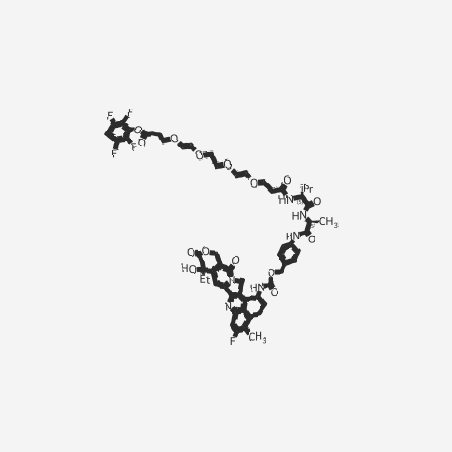 CC[C@@]1(O)C(=O)OCc2c1cc1n(c2=O)Cc2c-1nc1cc(F)c(C)c3c1c2C(NC(=O)OCc1ccc(NC(=O)[C@H](C)NC(=O)[C@@H](NC(=O)CCOCCOCCOCCOCCC(=O)Oc2c(F)c(F)cc(F)c2F)C(C)C)cc1)CC3